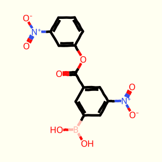 O=C(Oc1cccc([N+](=O)[O-])c1)c1cc(B(O)O)cc([N+](=O)[O-])c1